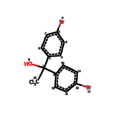 OC(c1ccc(Br)cc1)(c1ccc(Br)cc1)C(Cl)(Cl)Cl